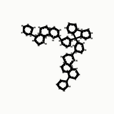 c1ccc(-c2ccnc3c2ccc2ccc(-c4cccc(C5(c6cccc(-c7ccc8ccc9c(-c%10ccccc%10)ccnc9c8n7)c6)c6ccccc6-c6ccccc65)c4)nc23)cc1